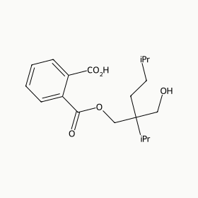 CC(C)CCC(CO)(COC(=O)c1ccccc1C(=O)O)C(C)C